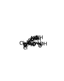 O=C(O)NCCC1CCN(Cc2cc(Oc3ccc(N4CCNCC4)nc3)nc(-c3cc(Cl)cc(Cl)c3)c2)CC1